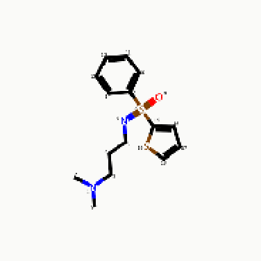 CN(C)CCCN=S(=O)(c1ccccc1)c1cccs1